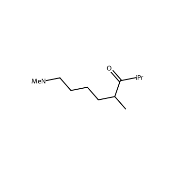 CNCCCCC(C)C(=O)C(C)C